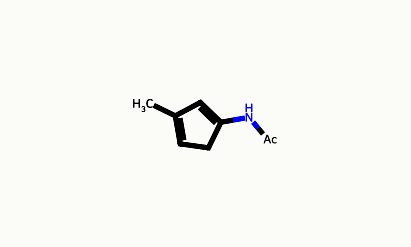 CC(=O)NC1=CC(C)=CC1